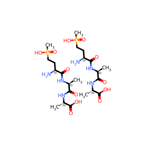 C[C@H](NC(=O)[C@H](C)NC(=O)[C@@H](N)CCP(C)(=O)O)C(=O)O.C[C@H](NC(=O)[C@H](C)NC(=O)[C@@H](N)CCP(C)(=O)O)C(=O)O